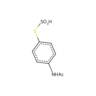 CC(=O)Nc1ccc(SS(=O)(=O)O)cc1